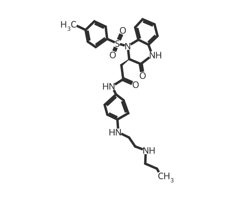 CCCNCCNc1ccc(NC(=O)C[C@@H]2C(=O)Nc3ccccc3N2S(=O)(=O)c2ccc(C)cc2)cc1